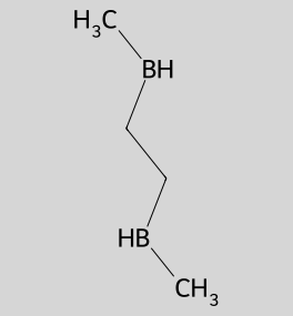 CBCCBC